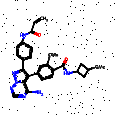 C=CC(=O)Nc1ccc(-c2nn3ncnc(N)c3c2-c2ccc(C(=O)NC3CC(OC)C3)c(OC)c2)cc1